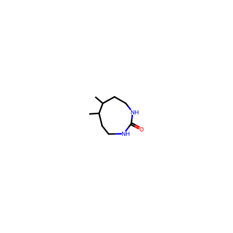 CC1CCNC(=O)NCCC1C